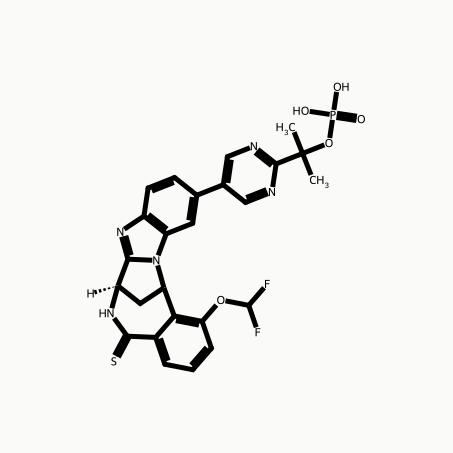 CC(C)(OP(=O)(O)O)c1ncc(-c2ccc3nc4n(c3c2)C2C[C@H]4NC(=S)c3cccc(OC(F)F)c32)cn1